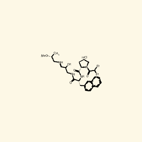 CCC(CC)C(=O)N1CCC[C@H]1C(=O)N[C@H](Cc1ccc2ccccc2c1)C(=O)NCC(O)CNC[C@@H](C)OC.Cl